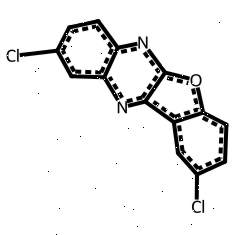 Clc1ccc2nc3oc4ccc(Cl)cc4c3nc2c1